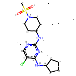 CS(=O)(=O)N1CCC(Nc2ncc(Cl)c(NC3CCCC3)n2)CC1